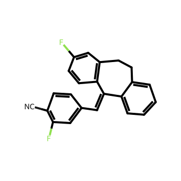 N#Cc1ccc(C=C2c3ccccc3CCc3cc(F)ccc32)cc1F